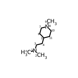 CN(C)CCC1CCN(C)CC1